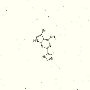 CCc1c[nH]c2nc(-c3cnc[nH]3)nc(N)c12